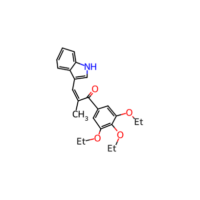 CCOc1cc(C(=O)C(C)=Cc2c[nH]c3ccccc23)cc(OCC)c1OCC